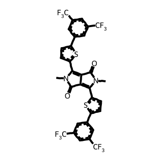 CN1C(=O)C2=C(c3ccc(-c4cc(C(F)(F)F)cc(C(F)(F)F)c4)s3)N(C)C(=O)C2=C1c1ccc(-c2cc(C(F)(F)F)cc(C(F)(F)F)c2)s1